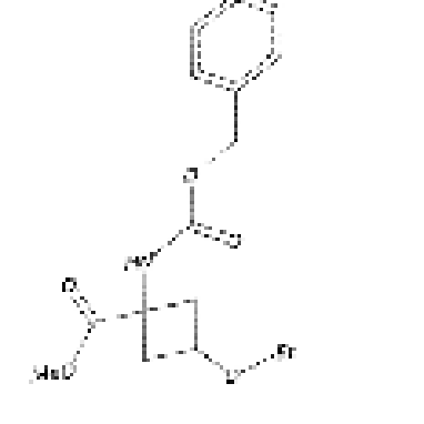 CCOC1CC(NC(=O)OCc2ccccc2)(C(=O)OC)C1